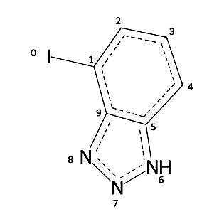 Ic1cccc2[nH]nnc12